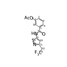 CC(=O)Oc1cccc(C(=O)Nc2cc(CC(F)(F)F)ns2)c1